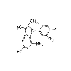 Cc1cc(-n2c(C)c(C#N)c3cc(O)cc(N)c32)ccc1F